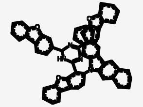 c1ccc2cc3c(cc2c1)c1cc2ccccc2cc1n3-c1ccc2c(oc3ccccc32)c1C1=NC(c2ccc3c(c2)oc2ccccc23)=NC(c2ccc3c(c2)oc2ccccc23)N1